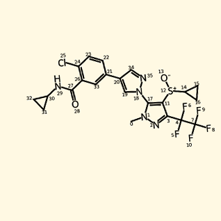 Cn1nc(C(F)(F)C(F)(F)F)c([S+]([O-])C2CC2)c1-n1cc(-c2ccc(Cl)c(C(=O)NC3CC3)c2)cn1